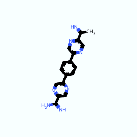 CC(=N)c1cnc(-c2ccc(-c3cnc(C(=N)N)cn3)cc2)cn1